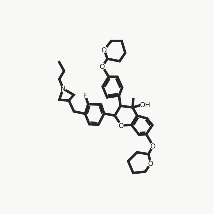 CCCN1CC(Cc2ccc(C3Oc4cc(OC5CCCCO5)ccc4C(C)(O)C3c3ccc(OC4CCCCO4)cc3)cc2F)C1